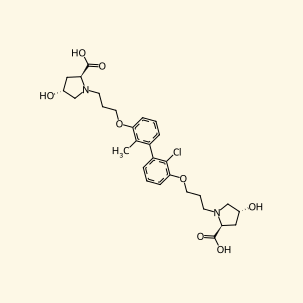 Cc1c(OCCCN2C[C@H](O)C[C@H]2C(=O)O)cccc1-c1cccc(OCCCN2C[C@H](O)C[C@H]2C(=O)O)c1Cl